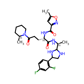 Cc1cc(C(=O)N[C@@H](CCC(=O)N2CCCC[C@@H]2C)C(=O)N[C@@H](C)C2NCC(c3ccc(F)cc3F)N2)no1